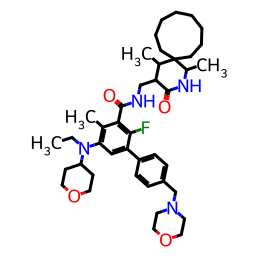 CCN(c1cc(-c2ccc(CN3CCOCC3)cc2)c(F)c(C(=O)NCC2C(=O)NC(C)C3(CCCCCCCC3)C2C)c1C)C1CCOCC1